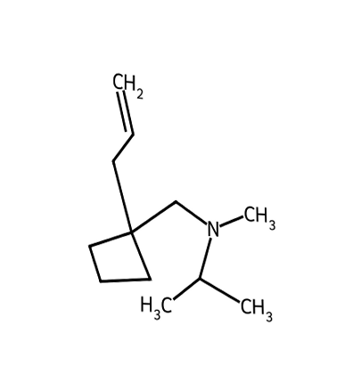 C=CCC1(CN(C)C(C)C)CCC1